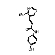 CC(C)(C)c1ncncc1C=CC(=O)Nc1ccc(O)cc1